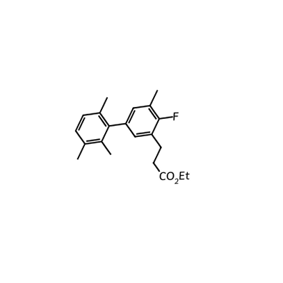 CCOC(=O)CCc1cc(-c2c(C)ccc(C)c2C)cc(C)c1F